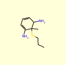 CCCSC1(C)C(N)=CC=CC1N